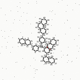 c1cc(-c2ccc3ccccc3c2)cc(N(c2cccc(-c3cccc4ccccc34)c2)c2ccc(-c3ccc4c(ccc5ccccc54)c3)cc2-c2cccc3ccccc23)c1